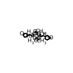 C[Si]1(C)O[SiH](CCC2CCC3OC3C2)O[Si](C)(C)O[Si](C)(CCC2CCC3OC3C2)O1